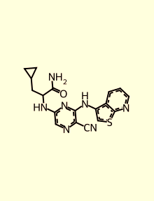 N#Cc1ncc(NC(CC2CC2)C(N)=O)nc1Nc1csc2ncccc12